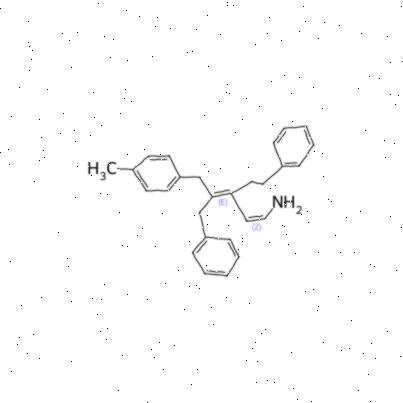 Cc1ccc(C/C(Cc2ccccc2)=C(/C=C\N)CCc2ccccc2)cc1